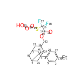 CCc1ccc(C23CC4CC(CC(COC(=O)C(F)(F)SOOO)(C4)C2)C3)cc1